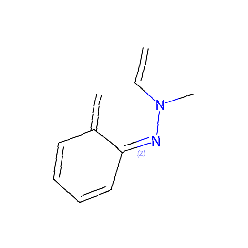 C=CN(C)/N=C1/C=CC=CC1=C